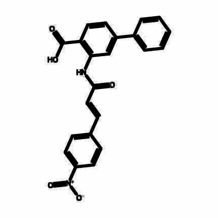 O=C(C=Cc1ccc([N+](=O)[O-])cc1)Nc1cc(-c2ccccc2)ccc1C(=O)O